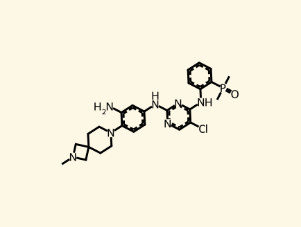 CN1CC2(CCN(c3ccc(Nc4ncc(Cl)c(Nc5ccccc5P(C)(C)=O)n4)cc3N)CC2)C1